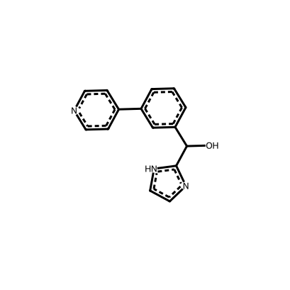 OC(c1cccc(-c2ccncc2)c1)c1ncc[nH]1